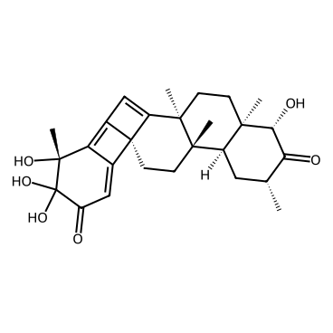 C[C@@H]1C[C@@H]2[C@@](C)(CC[C@]3(C)C4=CC5=C6C(=CC(=O)C(O)(O)[C@]6(C)O)[C@]45CC[C@@]23C)[C@H](O)C1=O